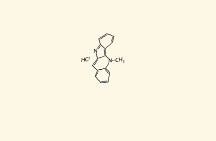 Cl.Cn1c2c3ccccc3nc-2cc2ccccc21